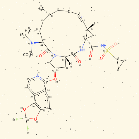 C[C@@H]1CC/C=C\[C@@H]2C[C@@]2(C(=O)NS(=O)(=O)C2CC2)NC(=O)[C@@H]2C[C@@H](Oc3nccc4c5c(ccc34)OC(F)(F)O5)CN2C(=O)[C@@H](N(C(=O)O)C(C)(C)C)[C@H](C)C1